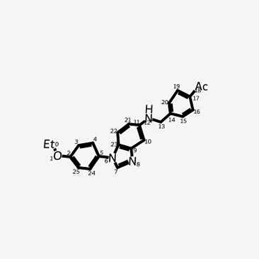 CCOc1ccc(-n2cnc3cc(NCc4ccc(C(C)=O)cc4)ccc32)cc1